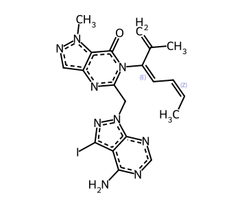 C=C(C)/C(=C\C=C/C)n1c(Cn2nc(I)c3c(N)ncnc32)nc2cnn(C)c2c1=O